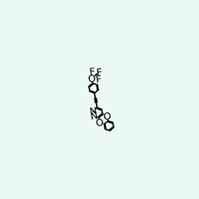 FC(F)(F)Oc1ccc(C#Cc2cc3c(nn2)Oc2ccccc2O3)cc1